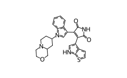 O=C1NC(=O)C(c2cn(C3CCN4CCOCC4C3)c3ccccc23)=C1c1c[nH]c2sccc12